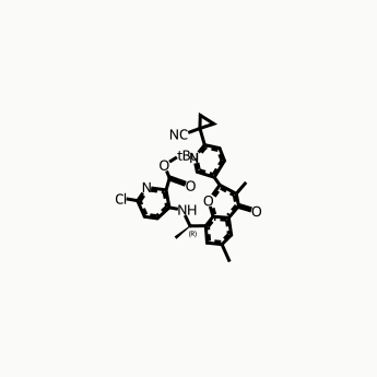 Cc1cc([C@@H](C)Nc2ccc(Cl)nc2C(=O)OC(C)(C)C)c2oc(-c3ccc(C4(C#N)CC4)nc3)c(C)c(=O)c2c1